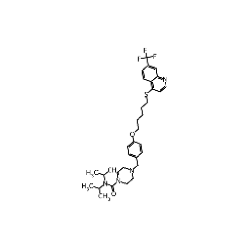 CC(C)N(C(=O)N1CCN(Cc2ccc(OCCCCCSc3ccnc4cc(C(F)(F)F)ccc34)cc2)CC1)C(C)C